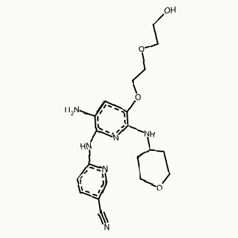 N#Cc1ccc(Nc2nc(NC3CCOCC3)c(OCCOCCO)cc2N)nc1